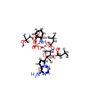 COC(C)(C)COC(=O)[C@H](C)N[P@](=O)(OC[C@H]1O[C@@](C)(c2ccc3c(N)ncnn23)[C@H](OC(=O)CC(C)C)[C@@H]1OC(=O)CC(C)C)Oc1ccccc1